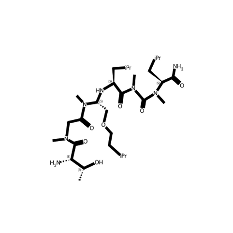 CC(C)CCOC[C@@H](N[C@@H](CC(C)C)C(=O)N(C)C(=O)N(C)[C@@H](CC(C)C)C(N)=O)N(C)C(=O)CN(C)C(=O)[C@@H](N)[C@@H](C)O